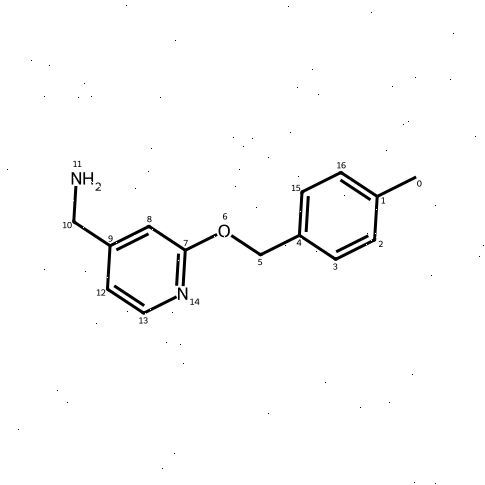 Cc1ccc(COc2cc(CN)ccn2)cc1